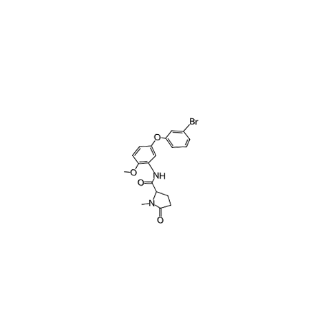 COc1ccc(Oc2cccc(Br)c2)cc1NC(=O)C1CCC(=O)N1C